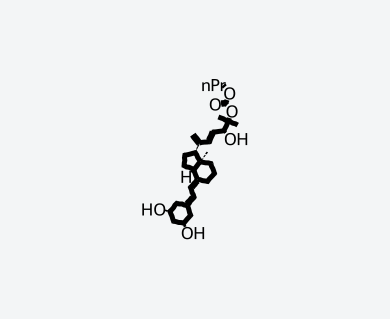 C=C(/C=C/[C@H](O)C(C)(C)OC(=O)OCCC)[C@H]1CC[C@H]2/C(=C/C=C3C[C@@H](O)C[C@H](O)C3)CCC[C@]12C